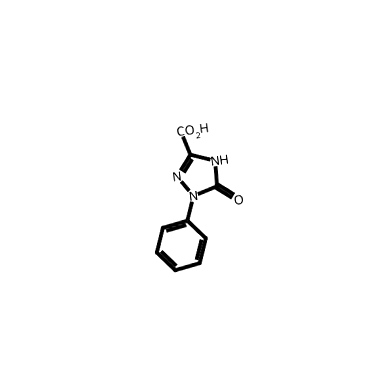 O=C(O)c1nn(-c2ccccc2)c(=O)[nH]1